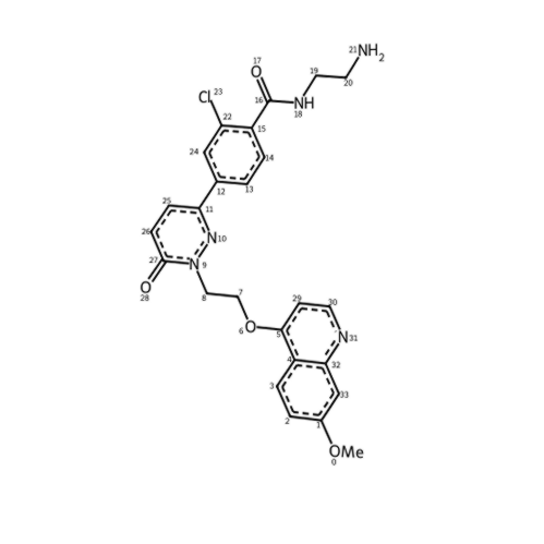 COc1ccc2c(OCCn3nc(-c4ccc(C(=O)NCCN)c(Cl)c4)ccc3=O)ccnc2c1